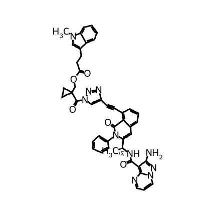 C[C@H](NC(=O)c1c(N)nn2cccnc12)c1cc2cccc(C#Cc3cn(C(=O)C4(COC(=O)CCc5cn(C)c6ccccc56)CC4)nn3)c2c(=O)n1-c1ccccc1